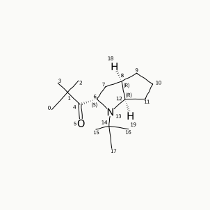 CC(C)(C)C(=O)[C@@H]1C[C@H]2CCC[C@H]2N1C(C)(C)C